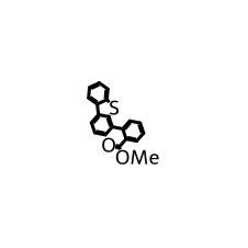 COC(=O)c1ccccc1-c1cccc2c1sc1ccccc12